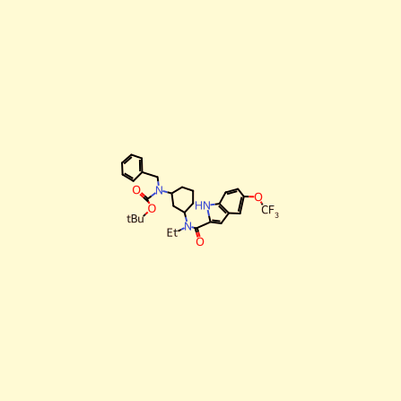 CCN(C(=O)c1cc2cc(OC(F)(F)F)ccc2[nH]1)C1CCCC(N(Cc2ccccc2)C(=O)OC(C)(C)C)C1